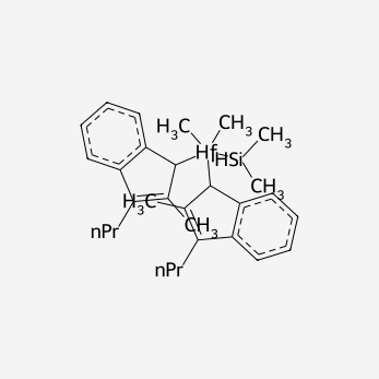 CCCC1=C(C)[CH]([Hf]([CH3])([CH3])([CH]2C(C)=C(CCC)c3ccccc32)[SiH](C)C)c2ccccc21